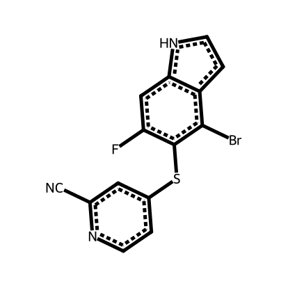 N#Cc1cc(Sc2c(F)cc3[nH]ccc3c2Br)ccn1